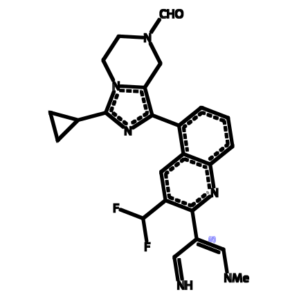 CN/C=C(\C=N)c1nc2cccc(-c3nc(C4CC4)n4c3CN(C=O)CC4)c2cc1C(F)F